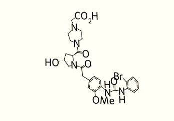 COc1cc(CC(=O)N2C[C@H](O)C[C@H]2C(=O)N2CCN(CC(=O)O)CC2)ccc1NC(=O)Nc1ccccc1Br